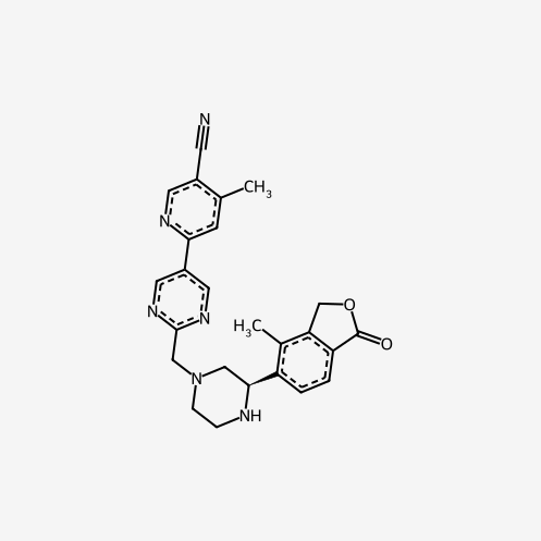 Cc1cc(-c2cnc(CN3CCN[C@H](c4ccc5c(c4C)COC5=O)C3)nc2)ncc1C#N